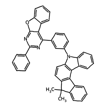 CC1(C)c2ccccc2-c2c1ccc1c2c2ccccc2n1-c1cccc(-c2nc(-c3ccccc3)nc3oc4ccccc4c23)c1